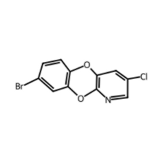 Clc1cnc2c(c1)Oc1ccc(Br)cc1O2